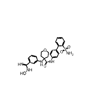 N=C(NO)c1cccc(NC2(C(=O)Nc3ccc(-c4ccccc4S(N)(=O)=O)cc3)CCOCC2)c1